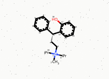 CC(C)[N+](C)(CC[C@H](c1ccccc1)c1ccccc1O)C(C)C